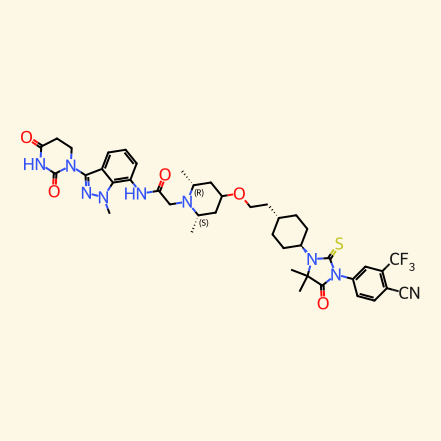 C[C@@H]1CC(OCC[C@H]2CC[C@H](N3C(=S)N(c4ccc(C#N)c(C(F)(F)F)c4)C(=O)C3(C)C)CC2)C[C@H](C)N1CC(=O)Nc1cccc2c(N3CCC(=O)NC3=O)nn(C)c12